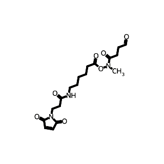 CN(OC(=O)CCCCCNC(=O)CCN1C(=O)C=CC1=O)C(=O)CCC=O